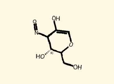 O=NC1C(O)=COC(CO)[C@@H]1O